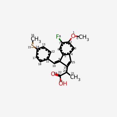 COc1cc2c(cc1F)/C(=C\c1ccc(SC)cc1)C(C(C)C(=O)O)=C2